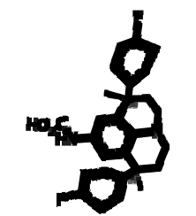 C[C@@]1(c2ccc(F)cc2)CCN2CC[C@@](C)(c3ccc(F)cc3)c3cc(NC(=O)O)cc1c32